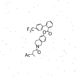 CC(=O)C(C)CC(=O)N1CCc2cc(OC(=O)c3ccccc3-c3ccc(C(F)(F)F)cc3)ccc2C1